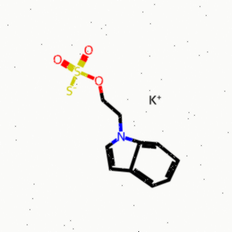 O=S(=O)([S-])OCCn1ccc2ccccc21.[K+]